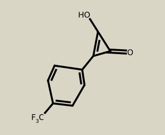 O=c1c(O)c1-c1ccc(C(F)(F)F)cc1